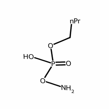 CCCCOP(=O)(O)ON